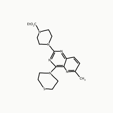 CCOC(=O)N1CCN(c2nc(N3CCSCC3)c3nc(C)ccc3n2)CC1